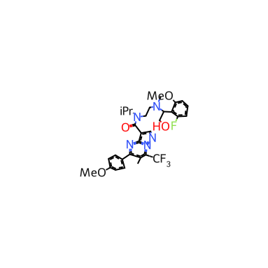 COc1ccc(-c2nc3c(C(=O)N(CCN(C)C(CO)c4c(F)cccc4OC)C(C)C)cnn3c(C(F)(F)F)c2C)cc1